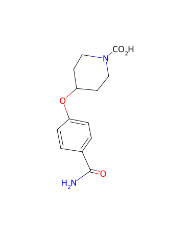 NC(=O)c1ccc(OC2CCN(C(=O)O)CC2)cc1